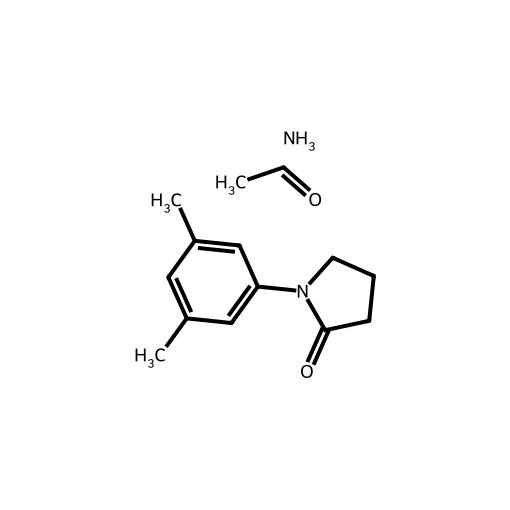 CC=O.Cc1cc(C)cc(N2CCCC2=O)c1.N